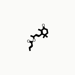 C/C=C/C(=O)OC(C)/C=C/C1=C(C)C(=O)CCC1(C)C